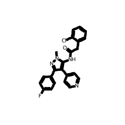 Cn1nc(-c2ccc(F)cc2)c(-c2ccncc2)c1NC(=O)Cc1ccccc1Cl